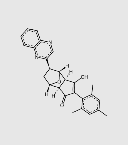 Cc1cc(C)c(C2=C(O)[C@@H]3[C@@H]4O[C@@H](C[C@H]4c4cnc5ccccc5n4)[C@@H]3C2=O)c(C)c1